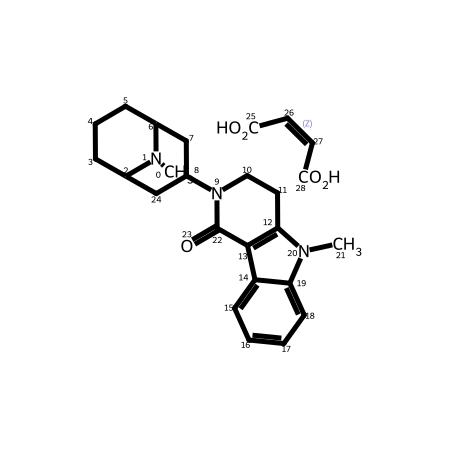 CN1C2CCCC1CC(N1CCc3c(c4ccccc4n3C)C1=O)C2.O=C(O)/C=C\C(=O)O